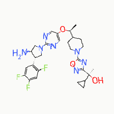 C[C@H](Oc1cnc(N2C[C@H](c3cc(F)c(F)cc3F)[C@@H](N)C2)nc1)C1CCN(c2nc([C@@](C)(O)C3CC3)no2)CC1